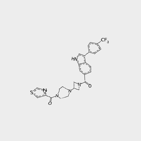 O=C(c1ccc2c(-c3ccc(C(F)(F)F)cc3)c[nH]c2c1)N1CC(N2CCN(C(=O)c3cscn3)CC2)C1